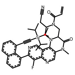 C=CC(=O)N1CC2C(=O)N(C)c3cnc4c(F)c(-c5cccc6cccc(C#C[Si](C(C)C)(C(C)C)C(C)C)c56)ncc4c3N2CC1CC#N